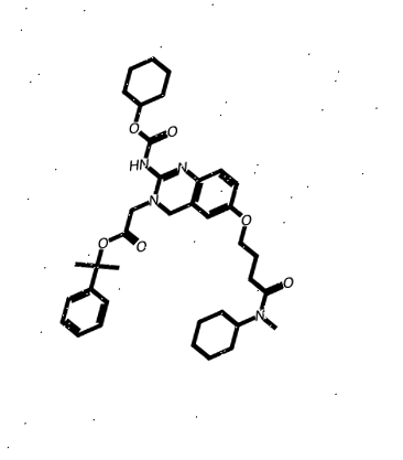 CN(C(=O)CCCOc1ccc2c(c1)CN(CC(=O)OC(C)(C)c1ccccc1)C(NC(=O)OC1CCCCC1)=N2)C1CCCCC1